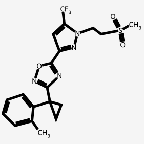 Cc1ccccc1C1(c2noc(-c3cc(C(F)(F)F)n(CCS(C)(=O)=O)n3)n2)CC1